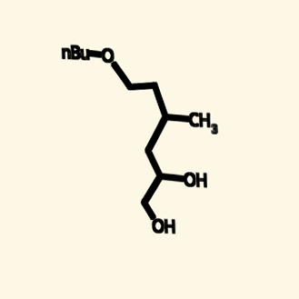 CCCCOCCC(C)CC(O)CO